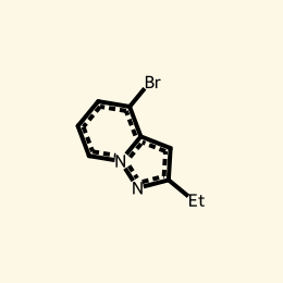 CCc1cc2c(Br)cccn2n1